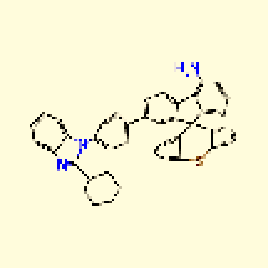 Nc1cccc2c1-c1ccc(-c3ccc(-n4c(C5CCCCC5)nc5ccccc54)cc3)cc1C21c2ccccc2Sc2ccccc21